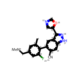 CNCc1cc(C)c(-c2cc3c(-c4cnco4)n[nH]c3cc2C#N)c(F)c1